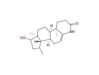 CC1CC(O)[C@@]2(C)CC[C@@H]3[C@@H](CC=C4NC(=O)CC[C@@]43C)[C@H]12